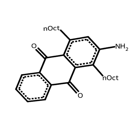 CCCCCCCCc1cc(N)c(CCCCCCCC)c2c1C(=O)c1ccccc1C2=O